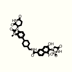 Cn1c(=O)n(C2CCC(=O)NC2=O)c2ccc(C3CCC(CNC(=O)c4ccc5c(F)c(N6CC(=O)NS6(=O)=O)c(O)cc5c4)CC3)cc21